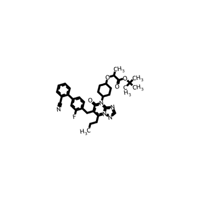 CCCc1c(Cc2ccc(-c3ccccc3C#N)cc2F)c(=O)n(C2CCC(OC(C)C(=O)OC(C)(C)C)CC2)c2ncnn12